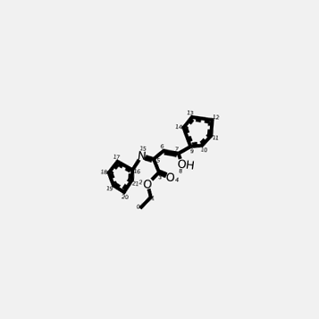 CCOC(=O)C(/C=C(\O)c1ccccc1)=N\c1ccccc1